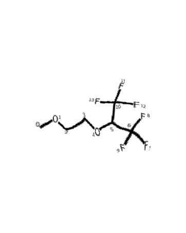 COCCOC(C(F)(F)F)C(F)(F)F